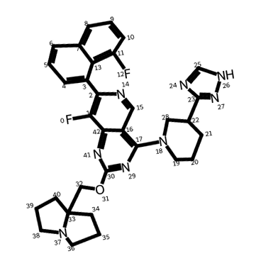 Fc1c(-c2cccc3cccc(F)c23)ncc2c(N3CCCC(c4nc[nH]n4)C3)nc(OCC34CCCN3CCC4)nc12